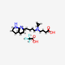 O=C(O)C(F)(F)F.O=C(O)CCCN(CCCCc1ccc2c(n1)NCCC2)C1CC1